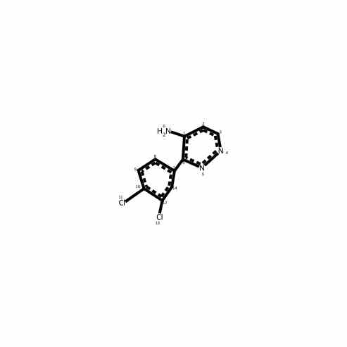 Nc1ccnnc1-c1ccc(Cl)c(Cl)c1